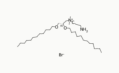 CCCCCCCCCCCCOC[C@H](C[N+](C)(C)CCCN)OCCCCCCCCCCCC.[Br-]